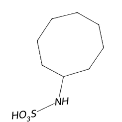 O=S(=O)(O)NC1CCCCCCC1